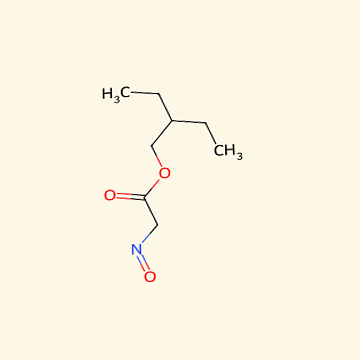 CCC(CC)COC(=O)CN=O